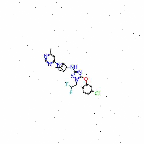 CC1=C2C(Nc3nc(Oc4cccc(Cl)c4)n(CC(F)F)n3)C1CN2c1cc(C)ncn1